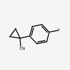 N#CC1(c2ccc(F)cc2)CC1